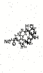 N#CCC(=O)N1CCC2(CCC(Nc3nc(Nc4cnn(CC56CC5C6)c4)ncc3Cl)CC2)CC1